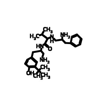 CC(C)C(NCC(N)Cc1ccccc1)C(=O)NC(CN)Cc1ccc(O)c(C(C)(C)C)c1